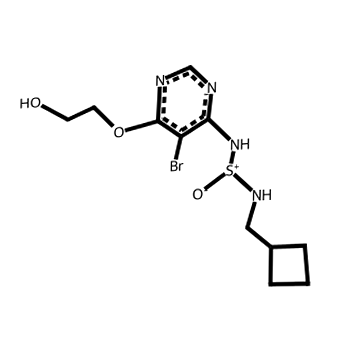 [O-][S+](NCC1CCC1)Nc1ncnc(OCCO)c1Br